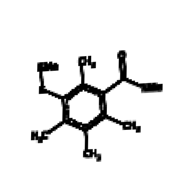 CNC(=O)c1c(C)c(C)c(C)c(SSC)c1C